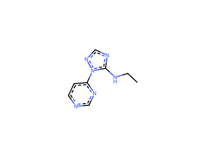 CCNc1ncnn1-c1ccncn1